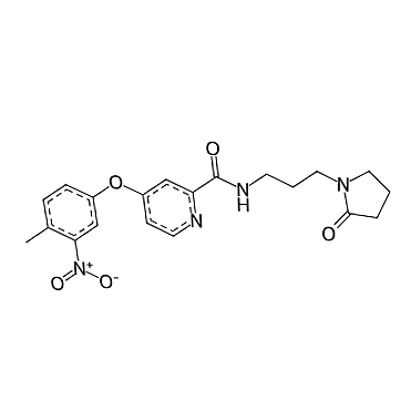 Cc1ccc(Oc2ccnc(C(=O)NCCCN3CCCC3=O)c2)cc1[N+](=O)[O-]